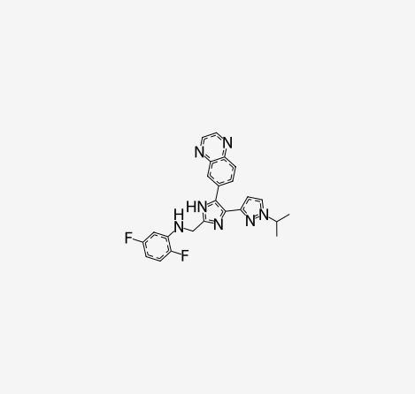 CC(C)n1ccc(-c2nc(CNc3cc(F)ccc3F)[nH]c2-c2ccc3nccnc3c2)n1